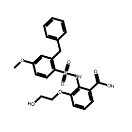 COc1ccc(S(=O)(=O)Nc2c(OCCO)cccc2C(=O)O)c(Cc2ccccc2)c1